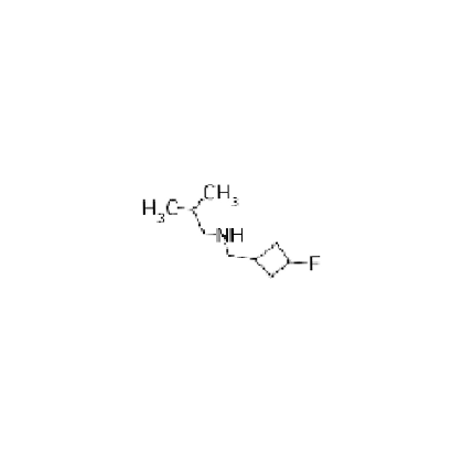 CC(C)CNCC1CC(F)C1